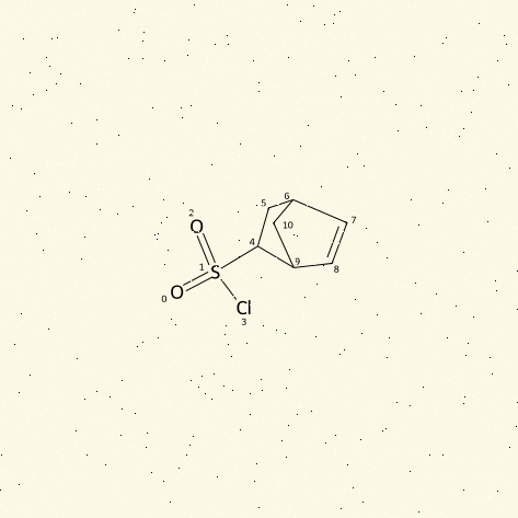 O=S(=O)(Cl)C1CC2C=CC1C2